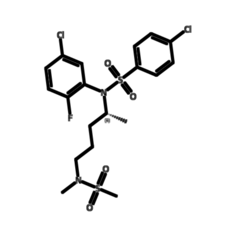 C[C@H](CCCN(C)S(C)(=O)=O)N(c1cc(Cl)ccc1F)S(=O)(=O)c1ccc(Cl)cc1